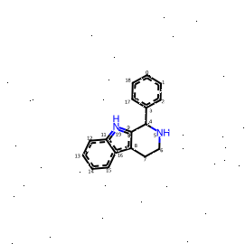 c1ccc(C2NCCc3c2[nH]c2ccccc32)cc1